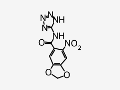 O=C(Nc1nnn[nH]1)c1cc2c(cc1[N+](=O)[O-])OCO2